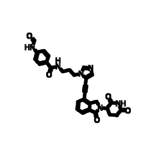 O=CNc1ccc(C(=O)NCCCn2cncc2C#Cc2cccc3c2CN(C2CCC(=O)NC2=O)C3=O)cc1